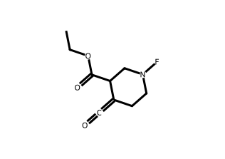 CCOC(=O)C1CN(F)CCC1=C=O